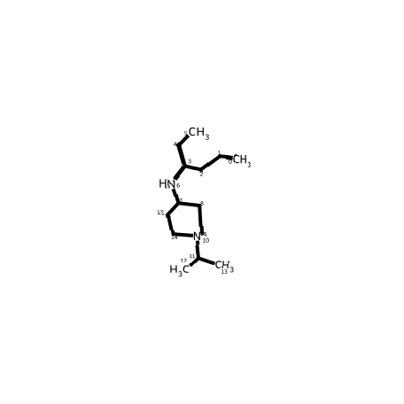 CCCC(CC)NC1CCN(C(C)C)CC1